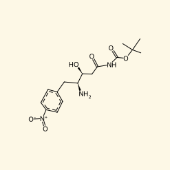 CC(C)(C)OC(=O)NC(=O)C[C@H](O)[C@@H](N)Cc1ccc([N+](=O)[O-])cc1